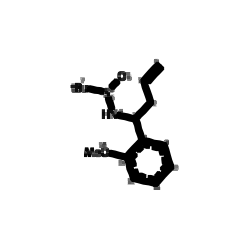 C=CCC(N[S+]([O-])C(C)(C)C)c1ccccc1OC